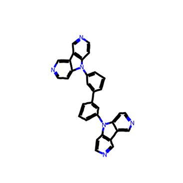 c1cc(-c2cccc(-n3c4ccncc4c4cnccc43)c2)cc(-n2c3ccncc3c3cnccc32)c1